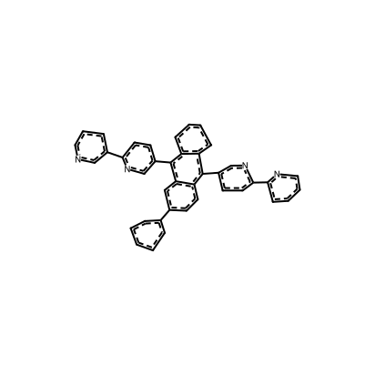 c1ccc(-c2ccc3c(-c4ccc(-c5ccccn5)nc4)c4ccccc4c(-c4ccc(-c5cccnc5)nc4)c3c2)cc1